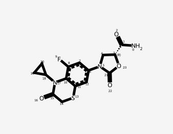 NC(=O)[C@H]1CN(c2cc(F)c3c(c2)SCC(=O)N3C2CC2)C(=O)O1